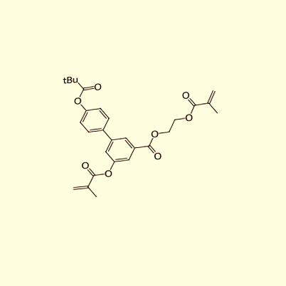 C=C(C)C(=O)OCCOC(=O)c1cc(OC(=O)C(=C)C)cc(-c2ccc(OC(=O)C(C)(C)C)cc2)c1